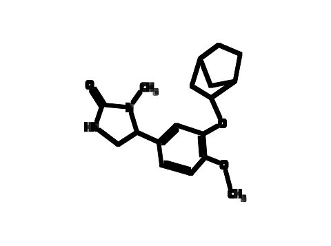 COc1ccc(C2CNC(=O)N2C)cc1OC1CC2CCC1C2